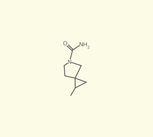 CC1CC12CCN(C(N)=O)C2